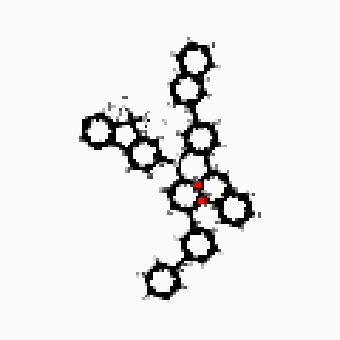 CC1(C)c2ccccc2-c2ccc(N(c3ccc(-c4cccc(-c5ccccc5)c4)cc3)c3cc(-c4ccc5ccccc5c4)ccc3-c3ccc4ccccc4c3)cc21